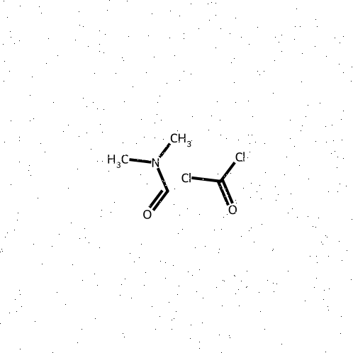 CN(C)C=O.O=C(Cl)Cl